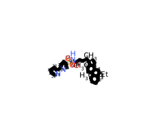 CC[C@H]1CC2C3CC[C@H]([C@H](C)CCC(=O)NS(=O)(=O)c4ccc(-c5ccccn5)nc4)[C@@]3(C)CCC2[C@@]2(C)CCCC[C@@H]12